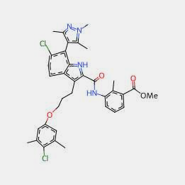 COC(=O)c1cccc(NC(=O)c2[nH]c3c(-c4c(C)nn(C)c4C)c(Cl)ccc3c2CCCOc2cc(C)c(Cl)c(C)c2)c1C